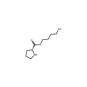 O=C(OCCCCO)[C@@H]1CCCN1